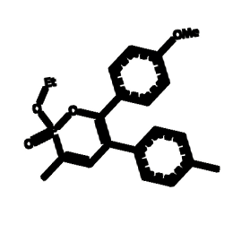 CCOP1(=O)OC(c2ccc(OC)cc2)=C(c2ccc(C)cc2)C=C1C